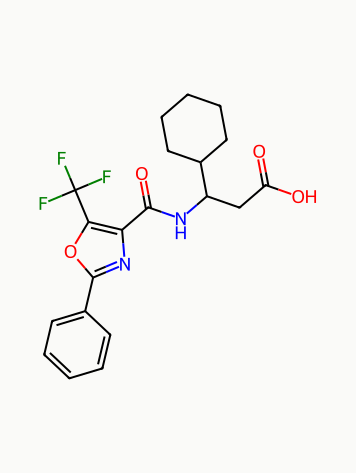 O=C(O)CC(NC(=O)c1nc(-c2ccccc2)oc1C(F)(F)F)C1CCCCC1